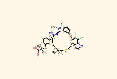 CN/C1=N\C(=N)[C@@](C)(c2cccc(CC(C)(C)C(=O)O)c2)CCCC(C)(C)CSCCc2c(c(F)c(F)c3[nH]ccc23)Oc2ccc(F)c1c2